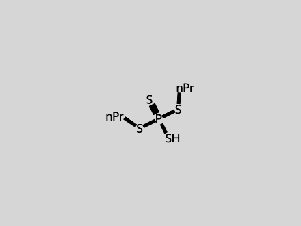 CCCSP(=S)(S)SCCC